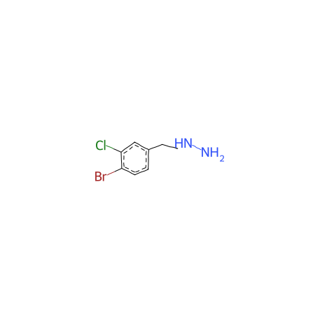 NNCCc1ccc(Br)c(Cl)c1